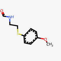 COc1ccc(SCCNC=O)cc1